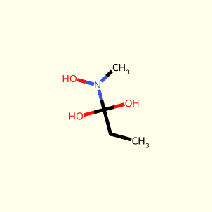 CCC(O)(O)N(C)O